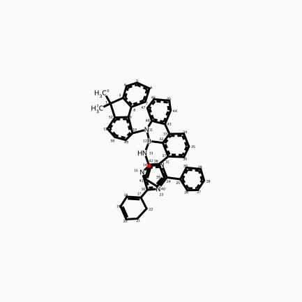 CC1(C)c2ccccc2-c2c(N3B(Nc4nc(C5=CC=CCC5)nc(-c5ccccc5)n4)c4c(cccc4C4C=CC=C4)-c4ccccc43)cccc21